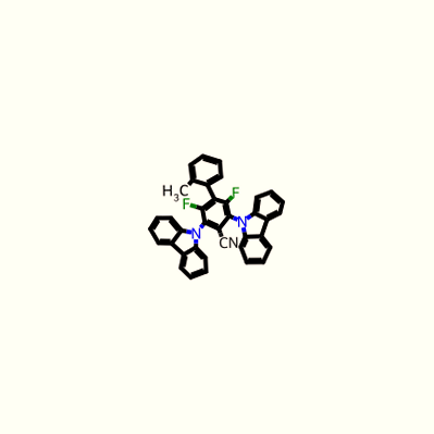 Cc1ccccc1-c1c(F)c(-n2c3ccccc3c3ccccc32)c(C#N)c(-n2c3ccccc3c3ccccc32)c1F